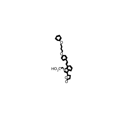 O=C(O)Cn1cc(C2CCC(=O)O2)c2cccc(C=Cc3ccc(OCCCCOc4ccccc4)cc3)c21